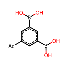 CC(=O)c1cc(B(O)O)cc(B(O)O)c1